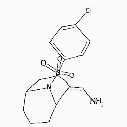 N/C=C1/C(=O)CC2CCCC1N2S(=O)(=O)c1ccc(Cl)cc1